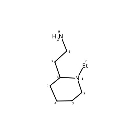 CCN1CCCCC1CCN